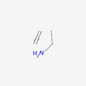 C=C.CCN